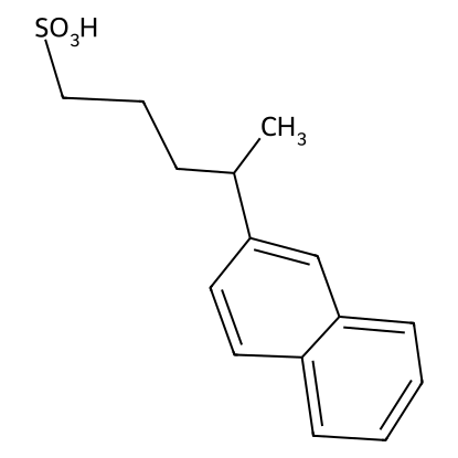 CC(CCCS(=O)(=O)O)c1ccc2ccccc2c1